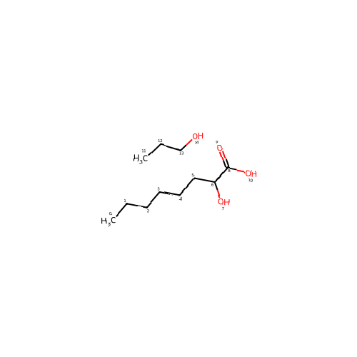 CCCCCCC(O)C(=O)O.CCCO